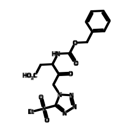 CCS(=O)(=O)c1nnnn1CC(=O)C(CC(=O)O)NC(=O)OCc1ccccc1